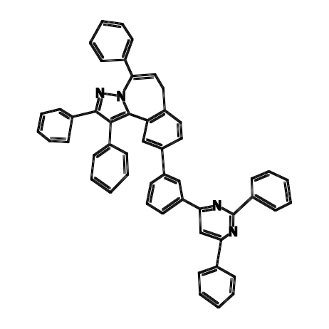 C1=C(c2ccccc2)n2nc(-c3ccccc3)c(-c3ccccc3)c2-c2cc(-c3cccc(-c4cc(-c5ccccc5)nc(-c5ccccc5)n4)c3)ccc2C1